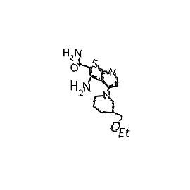 CCOCC1CCCN(c2ccnc3sc(C(N)=O)c(N)c23)C1